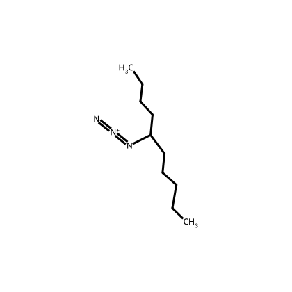 CCCCCC(CCCC)N=[N+]=[N-]